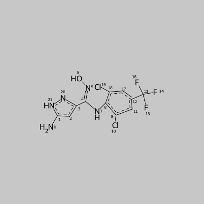 Nc1cc(C(=NO)Nc2c(Cl)cc(C(F)(F)F)cc2Cl)n[nH]1